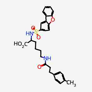 Cc1ccc(CCC(=O)NCCCCC(NS(=O)(=O)c2ccc3oc4ccccc4c3c2)C(=O)O)cc1